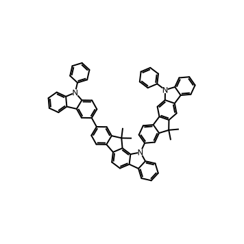 CC1(C)c2cc(-n3c4ccccc4c4ccc5c(c43)C(C)(C)c3cc(-c4ccc6c(c4)c4ccccc4n6-c4ccccc4)ccc3-5)ccc2-c2cc3c(cc21)c1ccccc1n3-c1ccccc1